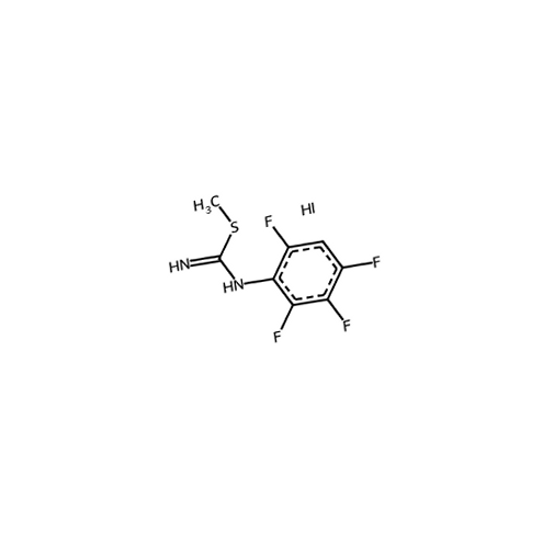 CSC(=N)Nc1c(F)cc(F)c(F)c1F.I